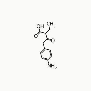 CCC(C(=O)O)C(=O)Cc1ccc(N)cc1